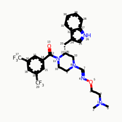 CN(C)CCON=CN1CCN(C(=O)c2cc(C(F)(F)F)cc(C(F)(F)F)c2)[C@H](Cc2c[nH]c3ccccc23)C1